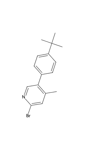 Cc1cc(Br)ncc1-c1ccc(C(C)(C)C)cc1